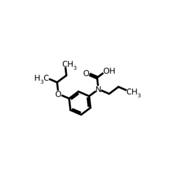 CCCN(C(=O)O)c1cccc(OC(C)CC)c1